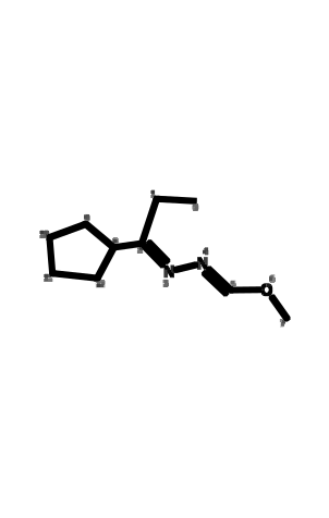 CC/C(=N\N=COC)C1CCCC1